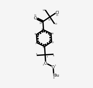 CC(C)(C)OOC(C)(C)c1ccc(C(=O)C(C)(C)Cl)cc1